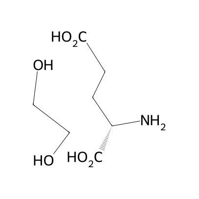 N[C@@H](CCC(=O)O)C(=O)O.OCCO